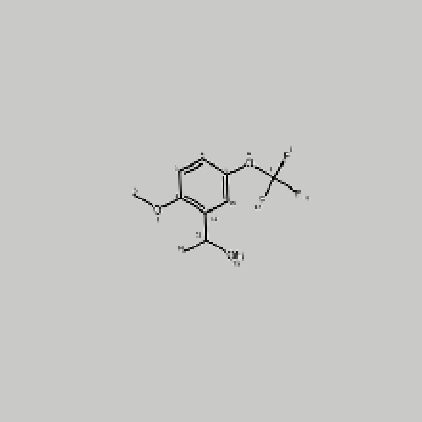 COc1ccc(OC(F)(F)F)cc1C(C)O